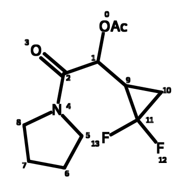 CC(=O)OC(C(=O)N1CCCC1)C1CC1(F)F